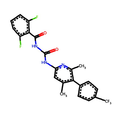 Cc1cc(NC(=O)NC(=O)c2c(F)cccc2F)nc(C)c1-c1ccc(C(F)(F)F)cc1